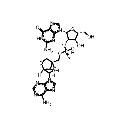 Nc1nc2c(ncn2[C@@H]2S[C@H](CO)[C@@H](O)[C@H]2OP(O)(=S)OC[C@@]23CO[C@@H](C(n4cnc5c(N)ncnc54)O2)[C@@H]3O)c(=O)[nH]1